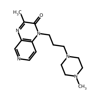 Cc1nc2cnccc2n(CCCN2CCN(C)CC2)c1=O